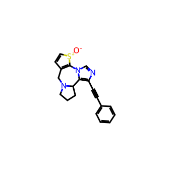 [O-][s+]1ccc2c1-n1cnc(C#Cc3ccccc3)c1C1CCCN1C2